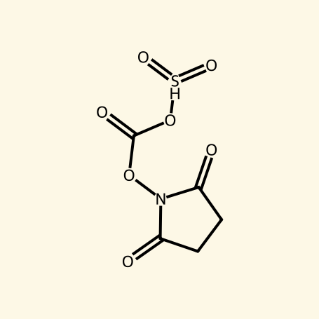 O=C(ON1C(=O)CCC1=O)O[SH](=O)=O